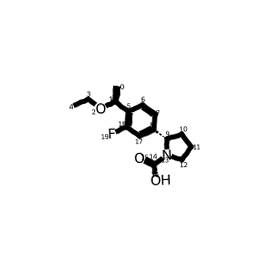 C=C(OCC)c1ccc([C@@H]2CCCN2C(=O)O)cc1F